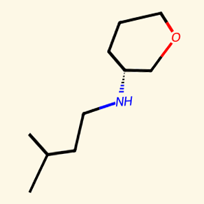 CC(C)CCN[C@@H]1CCCOC1